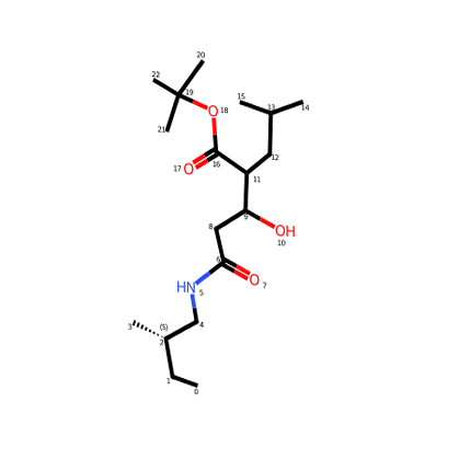 CC[C@H](C)CNC(=O)CC(O)C(CC(C)C)C(=O)OC(C)(C)C